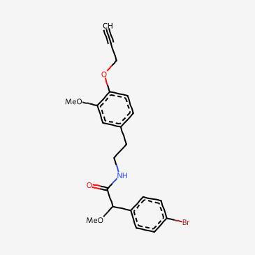 C#CCOc1ccc(CCNC(=O)C(OC)c2ccc(Br)cc2)cc1OC